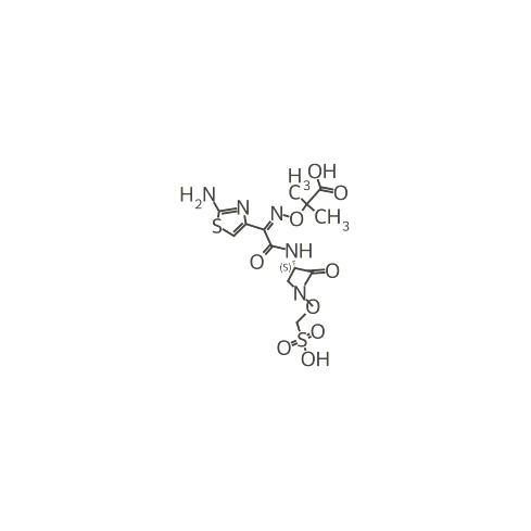 CC(C)(ON=C(C(=O)N[C@H]1CN(OCS(=O)(=O)O)C1=O)c1csc(N)n1)C(=O)O